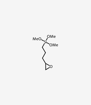 CO[Si](CCCC1CO1)(OC)OC